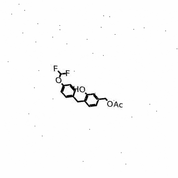 CC(=O)OCc1ccc(Cc2ccc(OC(F)F)cc2)c(O)c1